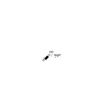 [MgH+].[OH-].[O]=[Zr]